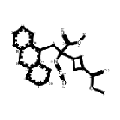 COC(=O)C1CC(C(Cc2c3ccccc3cc3ccccc23)(N=C=O)C(=O)OC)C1